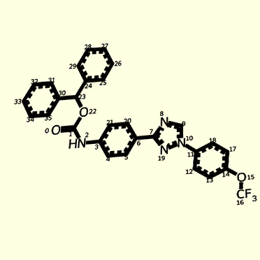 O=C(Nc1ccc(-c2ncn(-c3ccc(OC(F)(F)F)cc3)n2)cc1)OC(c1ccccc1)c1ccccc1